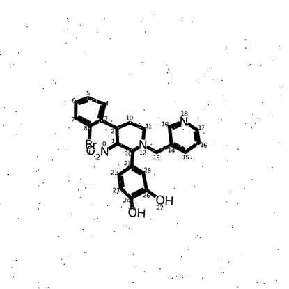 O=[N+]([O-])C1C(c2ccccc2Br)CCN(Cc2cccnc2)C1c1ccc(O)c(O)c1